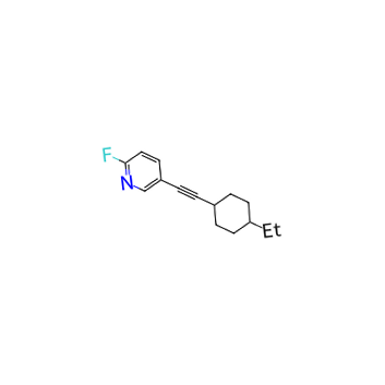 CCC1CCC(C#Cc2ccc(F)nc2)CC1